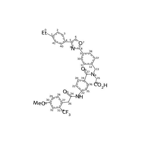 CCc1ccc(-c2coc(-c3ccc(CN(CC(=O)O)C(=O)c4ccc(NC(=O)Cc5ccc(OC)cc5C(F)(F)F)cc4)cc3)n2)cc1